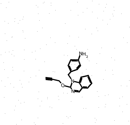 C#CCOC1N=Cc2ccccc2N1Cc1ccc(N)cc1